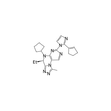 CC[C@@H]1c2nnc(C)n2-c2cnc(-n3ccnc3C3=CCCC3)nc2N1C1CCCC1